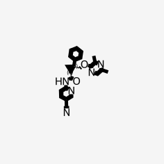 Cc1cnc(OC[C@@]2(c3ccccc3)C[C@H]2C(=O)Nc2ccc(C#N)cn2)c(C)n1